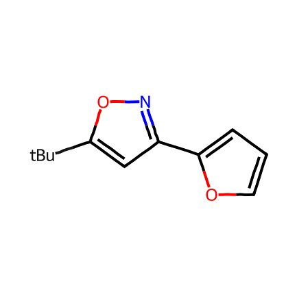 CC(C)(C)c1cc(-c2ccco2)no1